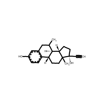 C#C[C@]1(O)CC[C@H]2[C@@H]3C(C)Cc4cc(O)ccc4[C@H]3CCC21C